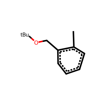 Cc1ccccc1COC(C)(C)C